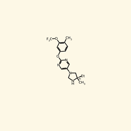 CC[C@]1(C)CN(c2cnc(Oc3ccc(C)c(OC(F)(F)F)c3)nc2)CN1